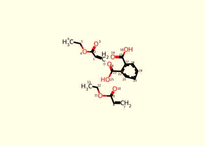 C=CC(=O)OCC.C=CC(=O)OCC.O=C(O)c1ccccc1C(=O)O